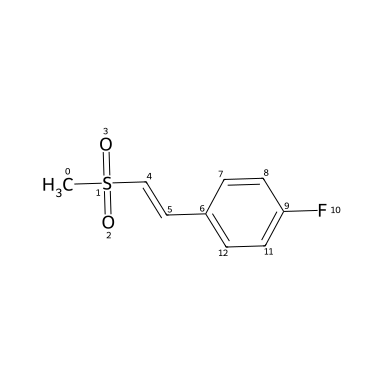 CS(=O)(=O)/C=C/c1ccc(F)cc1